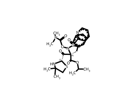 CC(C)OC(=O)[C@@](Cc1ccccc1)(C(=O)[C@H]1NC(C)(C)CS1)N(OC(=O)N(C)C)S(=O)(=O)c1ccccn1